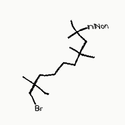 CCCCCCCCCC(C)(C)CC(C)(C)CCCCC(C)(C)CBr